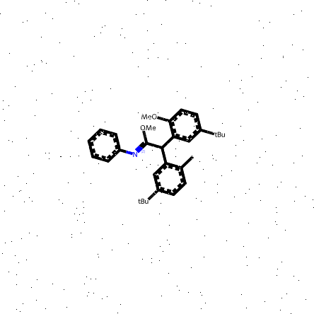 CO/C(=N\c1ccccc1)C(c1cc(C(C)(C)C)ccc1C)c1cc(C(C)(C)C)ccc1OC